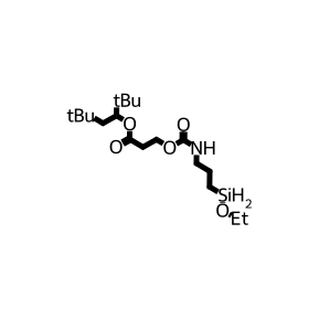 CCO[SiH2]CCCNC(=O)OCCC(=O)OC(CC(C)(C)C)C(C)(C)C